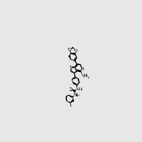 Cc1cccc(NC(=O)Nc2ccc(-c3csc4c(-c5ccc6c(c5)OCO6)cnc(N)c34)cc2)c1